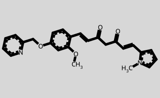 COc1cc(OCc2ccccn2)ccc1/C=C/C(=O)CC(=O)/C=C/c1cccn1C